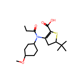 CCC(=O)N(C1=C(C(=O)O)SC(C(C)(C)C)C1)C1CCC(OC)CC1